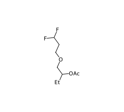 CCC(COCCC(F)F)OC(C)=O